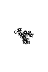 O=C(NC1CCCC1)c1cccc(C(c2cc(-c3ccccc3Cl)ccc2O)N2CCN(c3cccc(Cl)c3Cl)CC2)c1